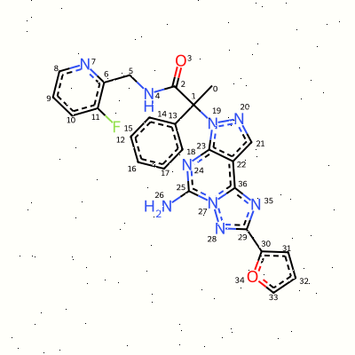 CC(C(=O)NCc1ncccc1F)(c1ccccc1)n1ncc2c1nc(N)n1nc(-c3ccco3)nc21